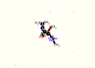 CCCCNC(=N)NC(=O)CCc1ccc(-c2ccc(CN3CCC(N(CCC)CCC)CC3)cc2)c(OCCCOC)c1.O=C(O)C(F)(F)F